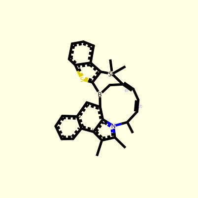 Cc1c(C)n2c3c(cc4ccccc4c13)B1C/C(=C\C=C/C2C)[Si](C)(C)c2c1sc1ccccc21